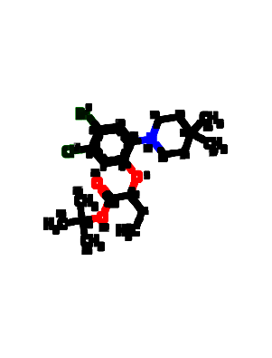 CCC(Oc1cc(Cl)c(Br)cc1N1CCC(C)(C)CC1)C(=O)OC(C)(C)C